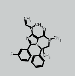 C=CN(C)c1nc(-c2cccc(F)c2)n(Cc2ccccc2)c1C(=O)N(C)CCC